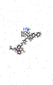 CC(=C(/C#N)C1CN1)/C(C#N)=C(/CCC1=CC=C(/C=C/c2ccc(N(O)CCC3CC3)cc2CC(C)c2ccccc2)C1)C(C)(c1ccc(-c2ccccc2)cc1)C1CCC1